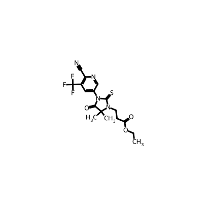 CCOC(=O)CCN1C(=S)N(c2cnc(C#N)c(C(F)(F)F)c2)C(=O)C1(C)C